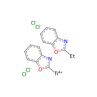 CCc1nc2ccccc2o1.[Cl-].[Cl-].[Cl-].[Cl-].[Ti+4][c]1nc2ccccc2o1